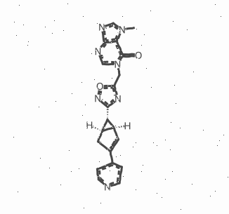 Cn1cnc2ncn(Cc3nc([C@@H]4[C@H]5C=C(c6ccncc6)C[C@H]54)no3)c(=O)c21